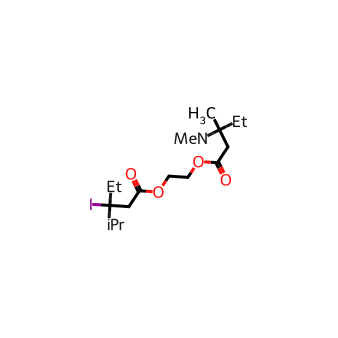 CCC(C)(CC(=O)OCCOC(=O)CC(I)(CC)C(C)C)NC